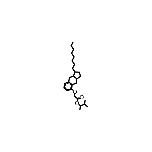 CCCCCCCCC1CCC2Cc3c(cccc3OCC(=O)OC(C)C(C)C)CC12